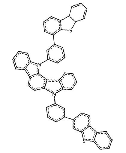 C1=CC2Sc3c(-c4cccc(-n5c6ccccc6c6ccc7c(c8ccccc8n7-c7cccc(-c8ccc9c(c8)sc8ccccc89)c7)c65)c4)cccc3C2C=C1